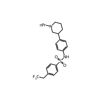 CCCN1CCCC(c2ccc(NS(=O)(=O)c3ccc(CC(F)(F)F)cc3)cc2)C1